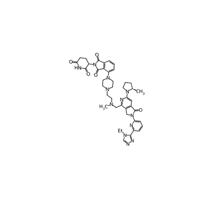 CCn1cnnc1-c1cccc(N2Cc3c(cc(N4CCC[C@H]4C)nc3CN(C)CCN3CCN(c4cccc5c4C(=O)N(C4CCC(=O)NC4=O)C5=O)CC3)C2=O)n1